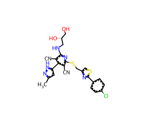 [C-]#[N+]c1c(NC[C@H](O)CO)nc(SCc2csc(-c3ccc(Cl)cc3)n2)c(C#N)c1-c1cc(C)n[nH]1